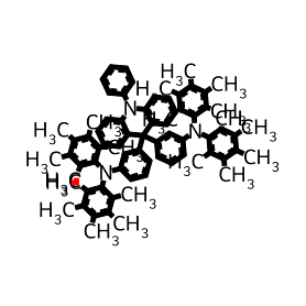 Cc1c(C)c(C)c(N(c2cccc(C3(c4cccc(N(c5c(C)c(C)c(C)c(C)c5C)c5c(C)c(C)c(C)c(C)c5C)c4)c4ccccc4N(c4ccccc4)c4ccccc43)c2)c2c(C)c(C)c(C)c(C)c2C)c(C)c1C